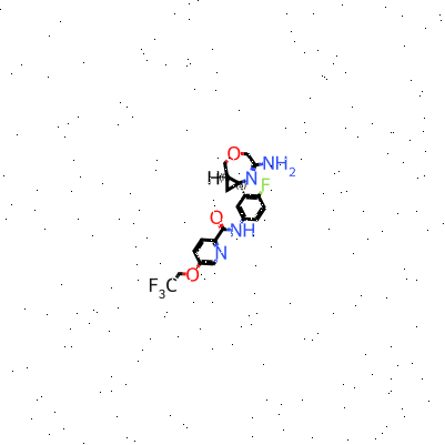 NC1=N[C@@]2(c3cc(NC(=O)c4ccc(OCC(F)(F)F)cn4)ccc3F)C[C@H]2COC1